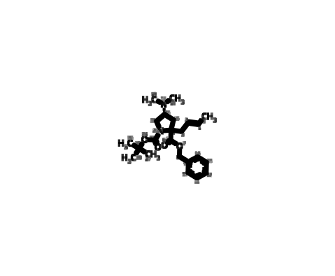 C/C=C/CC1(C(=O)OCc2ccccc2)C[C@@H](N(C)C)CN1C(=O)OC(C)(C)C